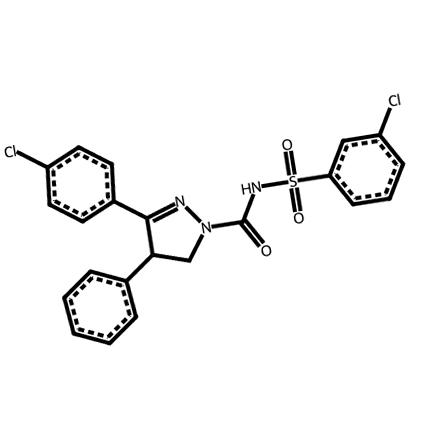 O=C(NS(=O)(=O)c1cccc(Cl)c1)N1CC(c2ccccc2)C(c2ccc(Cl)cc2)=N1